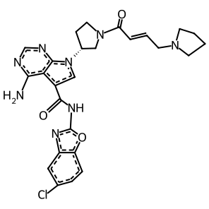 Nc1ncnc2c1c(C(=O)Nc1nc3cc(Cl)ccc3o1)cn2[C@@H]1CCN(C(=O)C=CCN2CCCC2)C1